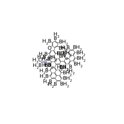 B=C(/C(B)=C(B)\C(B)=C(\B)C)c1c(-c2c(B)c(B)c3oc4c(B)c(B)c(B)c(B)c4c3c2B)c(B)c(-c2c(B)c(B)c3c(B)c(B)c4c(B)c(B)c(B)c(C#C)c4c3c2CB)c(B)c1-c1c(B)c(B)c2c(B)c(B)c3c(B)c(B)c(B)c4c(B)c(B)c1c2c34